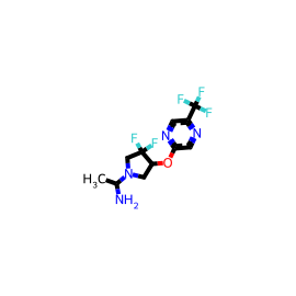 CC(N)N1CC(Oc2cnc(C(F)(F)F)cn2)C(F)(F)C1